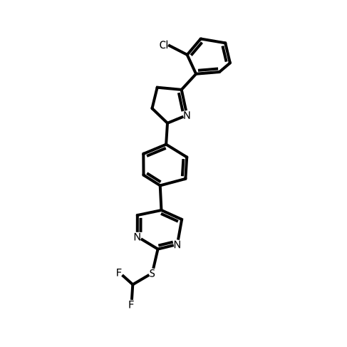 FC(F)Sc1ncc(-c2ccc(C3CCC(c4ccccc4Cl)=N3)cc2)cn1